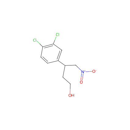 O=[N+]([O-])CC(CCO)c1ccc(Cl)c(Cl)c1